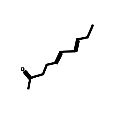 CCC=CC=CCCC(C)=O